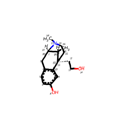 C[C@H]1[C@H]2Cc3ccc(O)cc3[C@]1(CCO)CCN2C